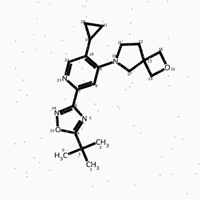 CC(C)(C)c1nc(-c2cc(N3CCC4(COC4)C3)c(C3CC3)cn2)no1